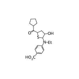 CCN(c1ccc(C(=O)O)cc1)C1SC(C(=O)C2CCCC2)CC1O